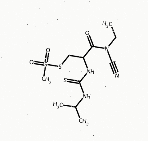 CCN(C#N)C(=O)C(CSS(C)(=O)=O)NC(=S)NC(C)C